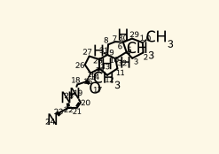 C[C@H]1CC[C@@]2(C)[C@@H](CC[C@@H]3[C@@H]2CC[C@]2(C)[C@@H](C(=O)Cn4ccc(C#N)n4)CC[C@@H]32)C1